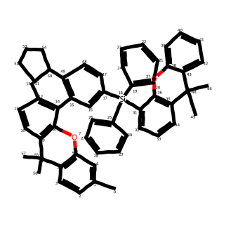 Cc1ccc2c(c1)Oc1c(ccc(C)c1-c1cc([Si](c3ccccc3)(c3ccccc3)c3cccc4c3Oc3ccccc3C4(C)C)ccc1C1CCCC1)C2(C)C